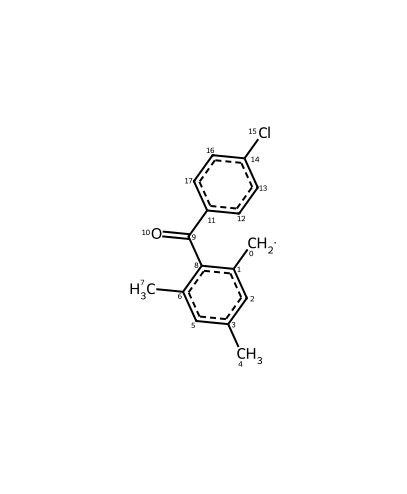 [CH2]c1cc(C)cc(C)c1C(=O)c1ccc(Cl)cc1